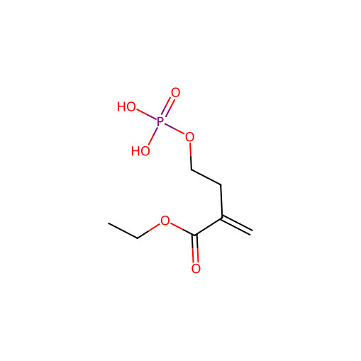 C=C(CCOP(=O)(O)O)C(=O)OCC